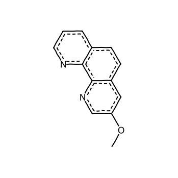 COc1cnc2c(ccc3cccnc32)c1